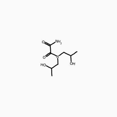 CC(O)CN(CC(C)O)C(=O)C(N)=O